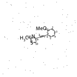 COc1ccccc1C#Cc1csc(C)n1